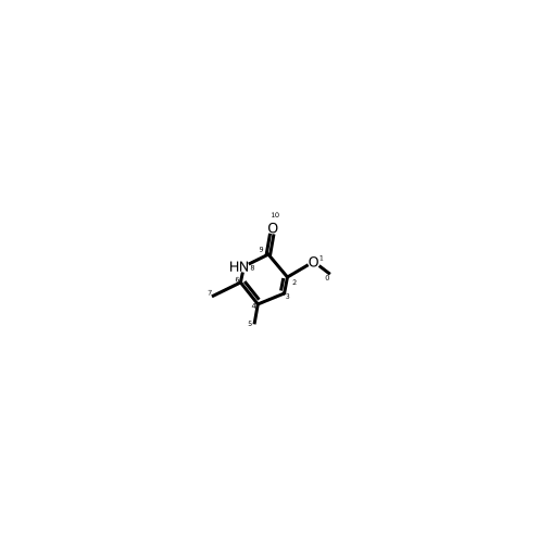 COc1cc(C)c(C)[nH]c1=O